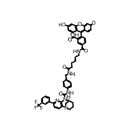 O=C(CCCCCNC(=O)c1ccc(-c2c3ccc(=O)cc-3oc3cc(O)ccc23)c(C(=O)O)c1)NCc1ccc(NC(=O)N2c3nc(-c4cccc(C(F)(F)F)c4)ccc3N3CCC[C@H]2C3)cc1